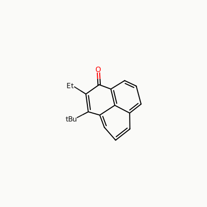 CCC1=C(C(C)(C)C)c2cccc3cccc(c23)C1=O